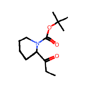 CCC(=O)C1CCCCN1C(=O)OC(C)(C)C